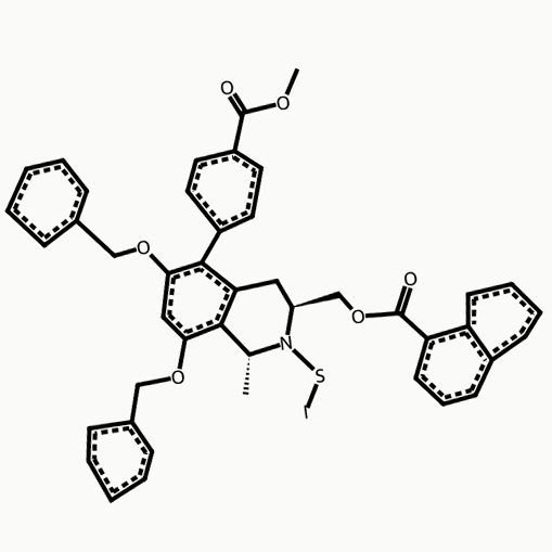 COC(=O)c1ccc(-c2c(OCc3ccccc3)cc(OCc3ccccc3)c3c2C[C@@H](COC(=O)c2cccc4ccccc24)N(SI)[C@@H]3C)cc1